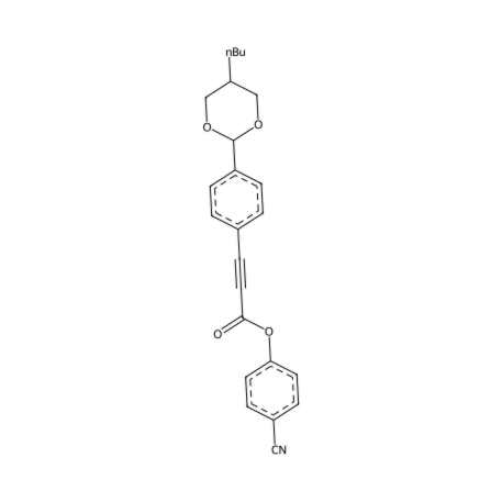 CCCCC1COC(c2ccc(C#CC(=O)Oc3ccc(C#N)cc3)cc2)OC1